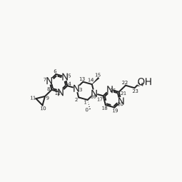 C[C@@H]1CN(c2ncnc(C3CC3)n2)C[C@@H](C)N1c1ccnc(CCO)n1